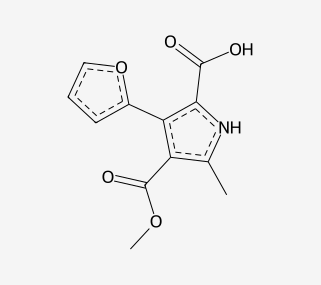 COC(=O)c1c(C)[nH]c(C(=O)O)c1-c1ccco1